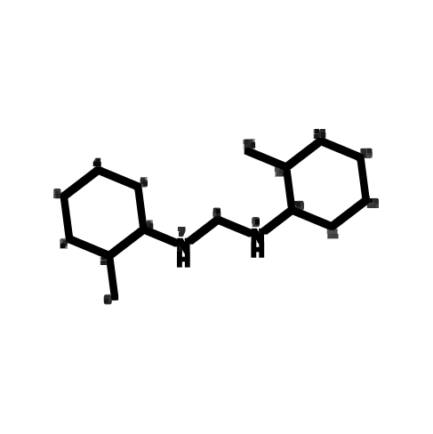 CC1CCCCC1NCNC1CCCCC1C